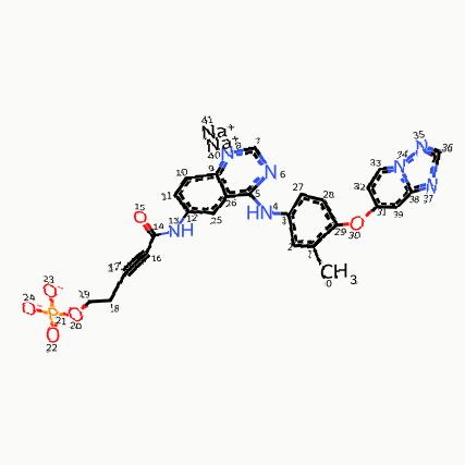 Cc1cc(Nc2ncnc3ccc(NC(=O)C#CCCOP(=O)([O-])[O-])cc23)ccc1Oc1ccn2ncnc2c1.[Na+].[Na+]